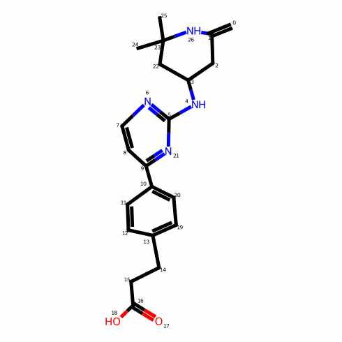 C=C1CC(Nc2nccc(-c3ccc(CCC(=O)O)cc3)n2)CC(C)(C)N1